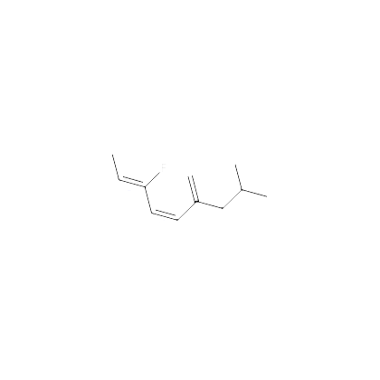 C=C(/C=C\C(F)=C\C)CC(C)C